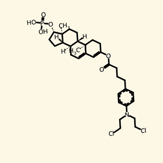 C[C@]12CC[C@H]3[C@@H](CC=C4C=C(OC(=O)CCCc5ccc(N(CCCl)CCCl)cc5)CC[C@@]43C)[C@@H]1CC[C@@H]2OP(=O)(O)O